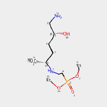 CCOP(=O)(CN[C@@H](CC[C@@H](O)CN)C(=O)O)OCC